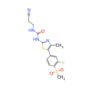 Cc1nc(NC(=O)NCCC#N)sc1-c1ccc(S(C)(=O)=O)c(F)c1